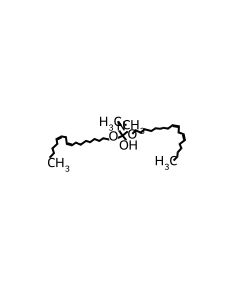 CCCCC/C=C\C/C=C\CCCCCCCCOCC(CO)(COCCCCCCCC/C=C\C/C=C\CCCCC)CN(C)C